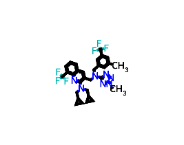 Cc1cc(CN(Cc2cc3cccc(C(F)(F)F)c3nc2N(CC2CC2)CC2CC2)c2nnn(C)n2)cc(C(F)(F)F)c1